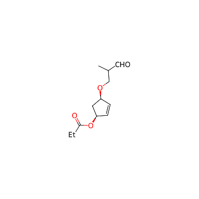 CCC(=O)O[C@@H]1C=C[C@H](OCC(C)C=O)C1